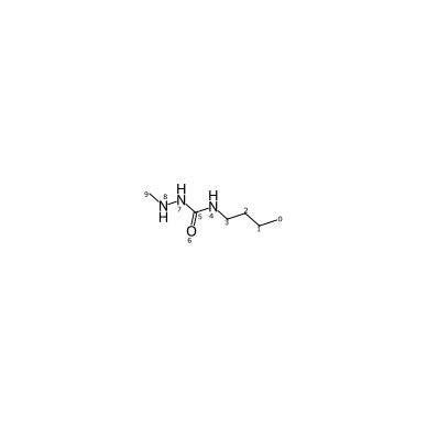 CCCCNC(=O)NNC